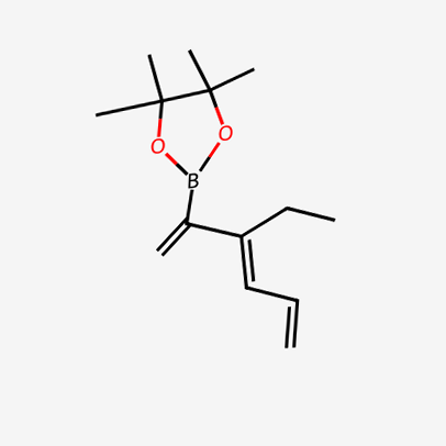 C=C/C=C(\CC)C(=C)B1OC(C)(C)C(C)(C)O1